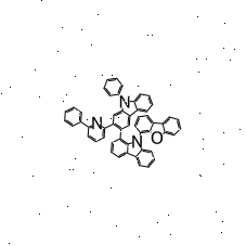 c1ccc(-c2cccc(-c3cc4c(cc3-c3cccc5c6ccccc6n(-c6cccc7c6oc6ccccc67)c35)c3ccccc3n4-c3ccccc3)n2)cc1